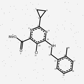 COC(=O)c1nc(C2CC2)nc(NCc2ccccc2C)c1Cl